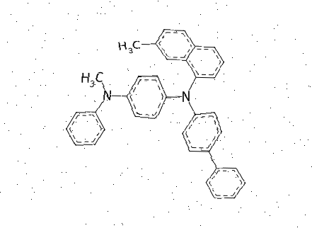 Cc1ccc2cccc(N(c3ccc(-c4ccccc4)cc3)c3ccc(N(C)c4ccccc4)cc3)c2c1